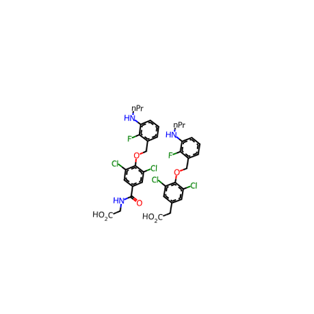 CCCNc1cccc(COc2c(Cl)cc(C(=O)NCC(=O)O)cc2Cl)c1F.CCCNc1cccc(COc2c(Cl)cc(CC(=O)O)cc2Cl)c1F